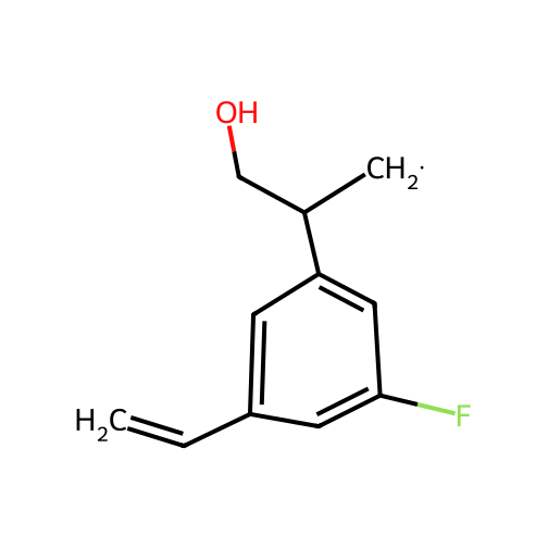 [CH2]C(CO)c1cc(F)cc(C=C)c1